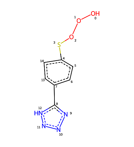 OOOSc1ccc(-c2nnn[nH]2)cc1